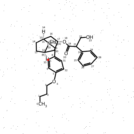 CCCCOc1ccc(C[N+]2(C)[C@@H]3CC[C@H]2C[C@H](OC(=O)C(CO)c2ccccc2)C3)cc1